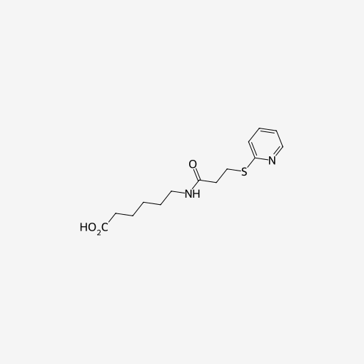 O=C(O)CCCCCNC(=O)CCSc1ccccn1